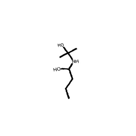 CCCC(O)NC(C)(C)O